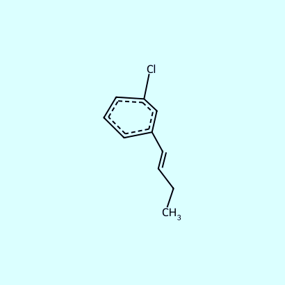 CCC=Cc1cccc(Cl)c1